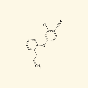 C=CCc1ccccc1Oc1ccc(C#N)c(Cl)c1